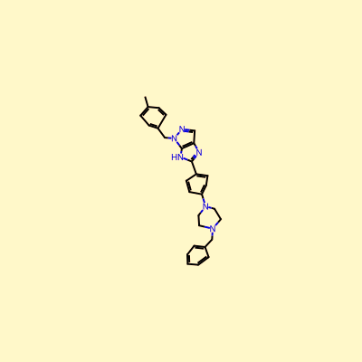 Cc1ccc(Cn2ncc3nc(-c4ccc(N5CCN(Cc6ccccc6)CC5)cc4)[nH]c32)cc1